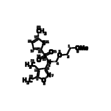 COCCOCN(c1noc(C)c1C)S(=O)(=O)c1ccc(C)s1